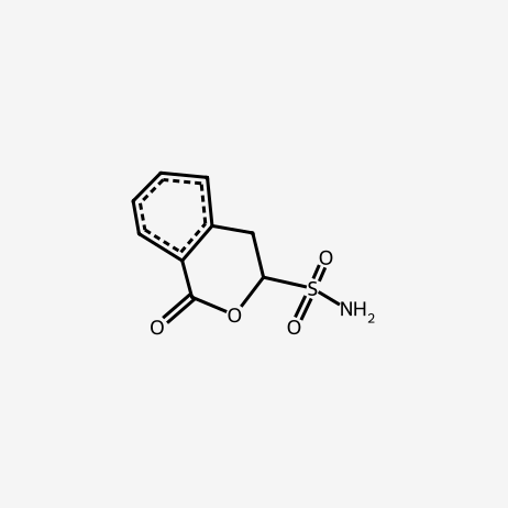 NS(=O)(=O)C1Cc2ccccc2C(=O)O1